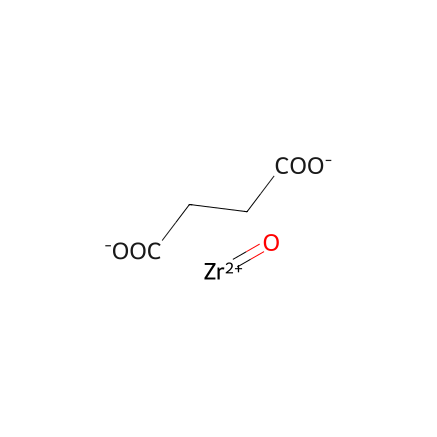 O=C([O-])CCC(=O)[O-].[O]=[Zr+2]